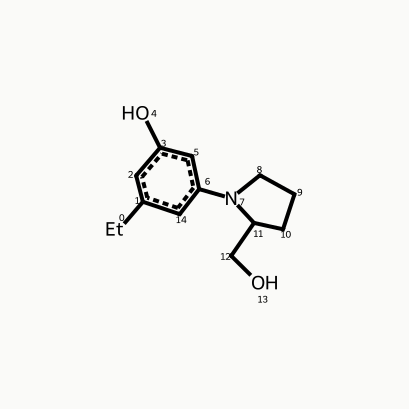 CCc1cc(O)cc(N2CCCC2CO)c1